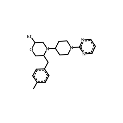 CCC1CN(C2CCN(c3ncccn3)CC2)C(Cc2ccc(C)cc2)CO1